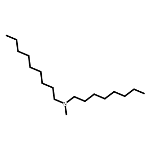 CCCCCCCCCN(C)CCCCCCCC